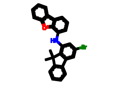 CC1(C)c2ccccc2-c2cc(Br)cc(Nc3cccc4c3oc3ccccc34)c21